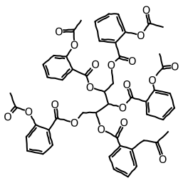 CC(=O)Cc1ccccc1C(=O)OC(COC(=O)c1ccccc1OC(C)=O)C(OC(=O)c1ccccc1OC(C)=O)C(COC(=O)c1ccccc1OC(C)=O)OC(=O)c1ccccc1OC(C)=O